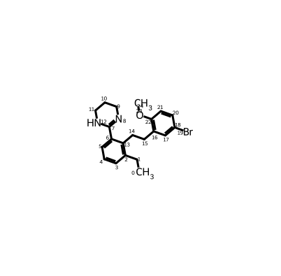 CCc1cccc(C2=NCCCN2)c1CCc1cc(Br)ccc1OC